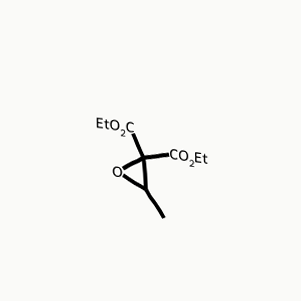 CCOC(=O)C1(C(=O)OCC)OC1C